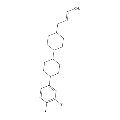 CC=CCC1CCC(C2CCC(c3ccc(F)c(F)c3)CC2)CC1